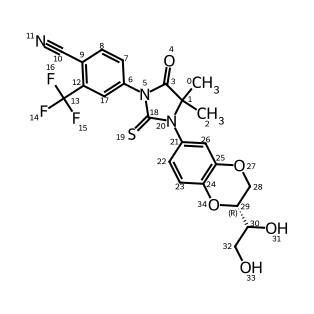 CC1(C)C(=O)N(c2ccc(C#N)c(C(F)(F)F)c2)C(=S)N1c1ccc2c(c1)OC[C@H](C(O)CO)O2